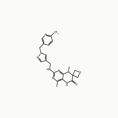 Cc1nc(NCc2cnn(Cc3ccc(C(F)(F)F)nc3)c2)nc2c1NC(=O)C1(COC1)N2C